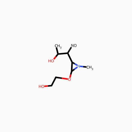 CC(O)C(N=O)C1C(OCCO)N1C